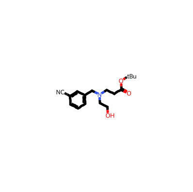 CC(C)(C)OC(=O)CCN(CCO)Cc1cccc(C#N)c1